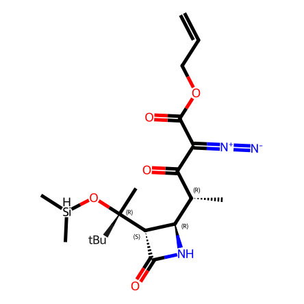 C=CCOC(=O)C(=[N+]=[N-])C(=O)[C@H](C)[C@H]1NC(=O)[C@@H]1[C@@](C)(O[SiH](C)C)C(C)(C)C